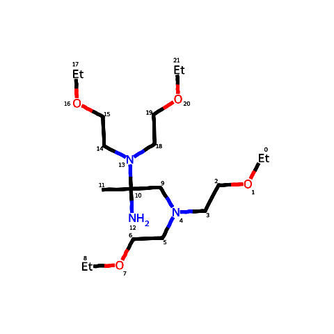 CCOCCN(CCOCC)CC(C)(N)N(CCOCC)CCOCC